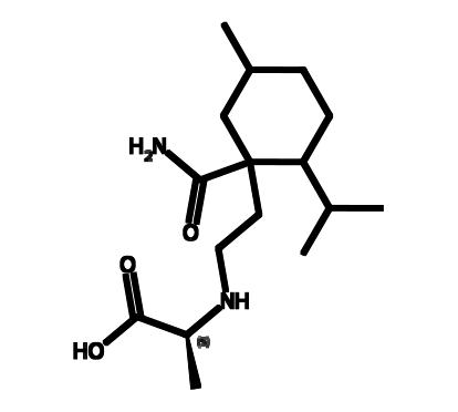 CC1CCC(C(C)C)C(CCN[C@@H](C)C(=O)O)(C(N)=O)C1